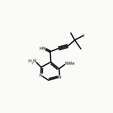 CNc1ncnc(N)c1C(=N)C#CC(C)(C)I